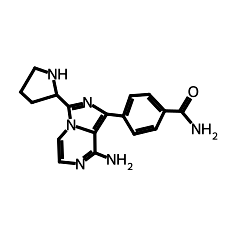 NC(=O)c1ccc(-c2nc(C3CCCN3)n3ccnc(N)c23)cc1